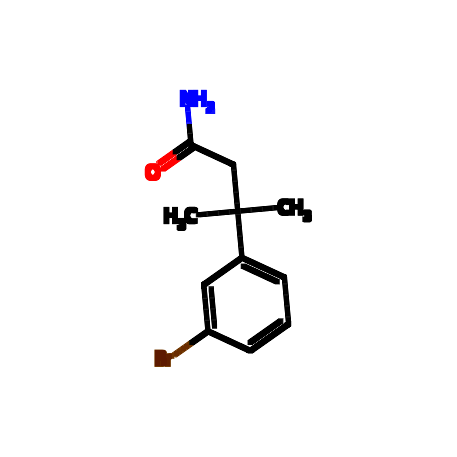 CC(C)(CC(N)=O)c1cccc(Br)c1